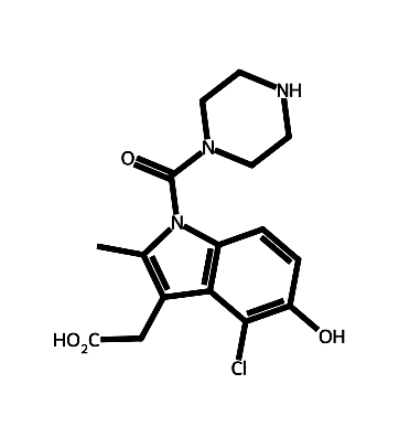 Cc1c(CC(=O)O)c2c(Cl)c(O)ccc2n1C(=O)N1CCNCC1